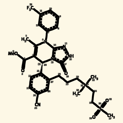 COC(=O)C1=C(C)N(c2cccc(C(F)(F)F)c2)c2n[nH]c(=O)n2[C@@H]1c1ccc(C#N)cc1CCC[N+](C)(C)CCS(C)(=O)=O